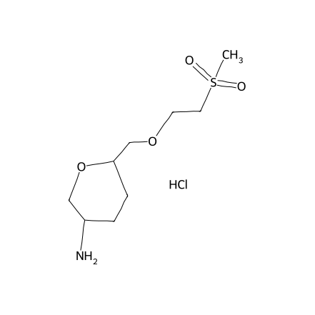 CS(=O)(=O)CCOCC1CCC(N)CO1.Cl